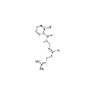 CC(C)=CCC/C(C)=C/COC(=O)c1ncccc1Cl